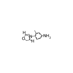 Cc1cc(N)ccc1N1C[C@@H]2C[C@H]1CO2